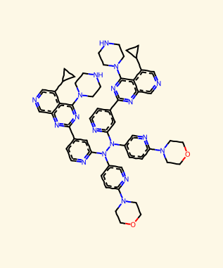 c1cc(-c2nc(N3CCNCC3)c3c(C4CC4)cncc3n2)cc(N(c2ccc(N3CCOCC3)nc2)N(c2ccc(N3CCOCC3)nc2)c2cc(-c3nc(N4CCNCC4)c4c(C5CC5)cncc4n3)ccn2)n1